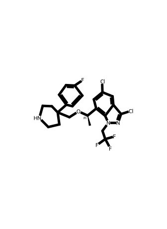 C[C@@H](OCC1(c2ccc(F)cc2)CCNCC1)c1cc(Cl)cc2c(Cl)nn(CC(F)(F)F)c12